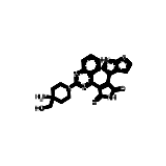 NC1(CO)CCN(c2nc(C3=C(c4c[nH]c5sccc45)C(=O)NC3=O)c3ccccc3n2)CC1